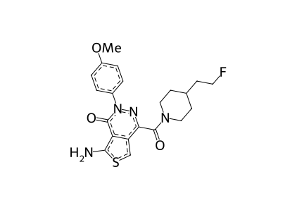 COc1ccc(-n2nc(C(=O)N3CCC(CCF)CC3)c3csc(N)c3c2=O)cc1